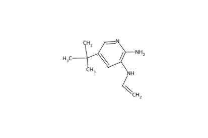 C=CNc1cc(C(C)(C)C)cnc1N